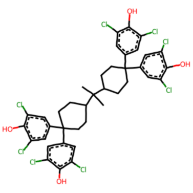 CC(C)(C1CCC(c2cc(Cl)c(O)c(Cl)c2)(c2cc(Cl)c(O)c(Cl)c2)CC1)C1CCC(c2cc(Cl)c(O)c(Cl)c2)(c2cc(Cl)c(O)c(Cl)c2)CC1